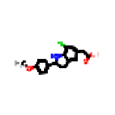 COc1ccc(C2CCc3cc(CC(=O)O)cc(Cl)c3N2)cc1